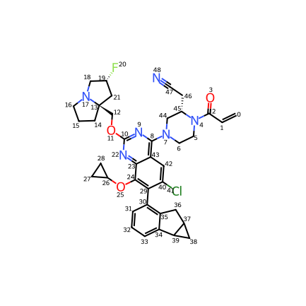 C=CC(=O)N1CCN(c2nc(OC[C@@]34CCCN3C[C@H](F)C4)nc3c(OC4CC4)c(-c4cccc5c4CC4CC54)c(Cl)cc23)C[C@@H]1CC#N